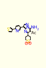 CC(=O)c1c(C2CCS(=O)(=O)CC2)nc2c(-c3ccc(-c4ccsc4)nc3)cnn2c1N